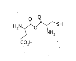 NC(CS)C(=O)OC(=O)C(N)CCC(=O)O